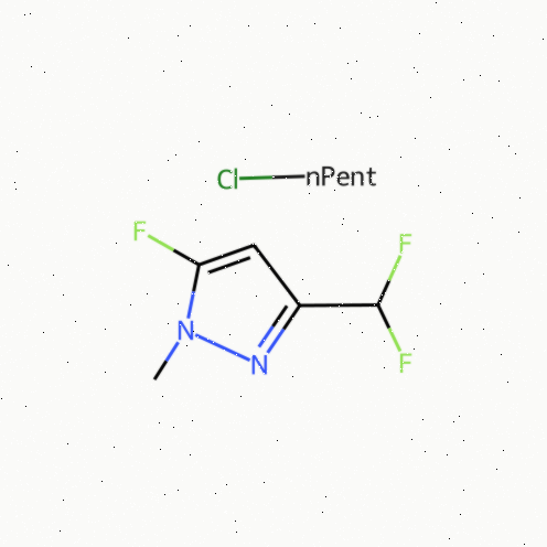 CCCCCCl.Cn1nc(C(F)F)cc1F